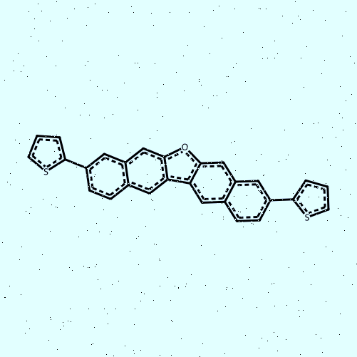 c1csc(-c2ccc3cc4c(cc3c2)oc2cc3cc(-c5cccs5)ccc3cc24)c1